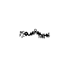 N#Cc1ccc(CC2CC3(C2)CN(C(=O)N2CC4(CC(c5nc(C6CC(F)(F)C6)n[nH]5)C4)C2)C3)cc1C(F)(F)F